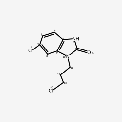 O=c1[nH]c2ccc(Cl)cc2n1CCCCl